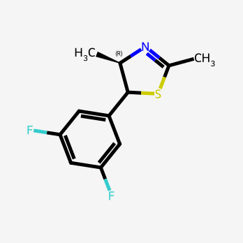 CC1=N[C@H](C)C(c2cc(F)cc(F)c2)S1